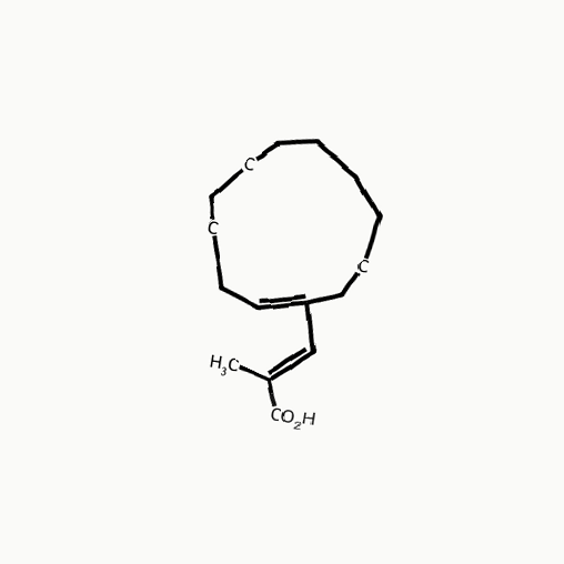 CC(=CC1=CCCCCCCCCCC1)C(=O)O